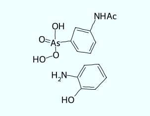 CC(=O)Nc1cccc([As](=O)(O)OO)c1.Nc1ccccc1O